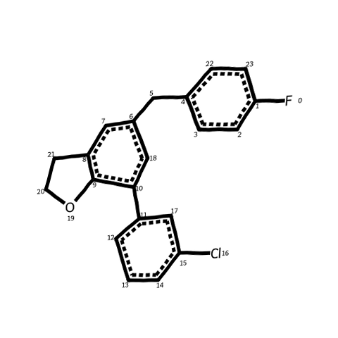 Fc1ccc(Cc2cc3c(c(-c4cccc(Cl)c4)c2)OCC3)cc1